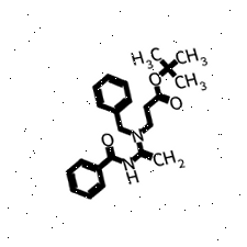 C=C(NC(=O)c1ccccc1)N(CCC(=O)OC(C)(C)C)Cc1ccccc1